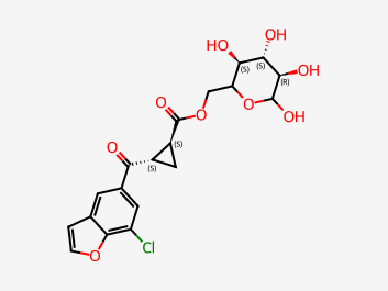 O=C(OCC1OC(O)[C@H](O)[C@@H](O)[C@@H]1O)[C@H]1C[C@@H]1C(=O)c1cc(Cl)c2occc2c1